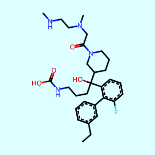 CCc1cccc(-c2c(F)cccc2C(O)(CCCNC(=O)O)C2CCCN(C(=O)CN(C)CCNC)C2)c1